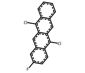 Fc1ccc2c(Cl)c3cc4ccccc4c(Cl)c3cc2c1